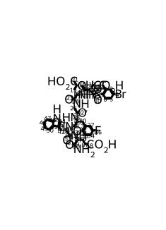 Cc1cc(Br)ccc1S(=O)(=O)N[C@H](CC(=O)O)C(=O)N[C@@H](CCC(=O)O)C(=O)NCC(=O)N[C@@H](Cc1cccc(F)c1)C(=O)N[C@@H](Cc1c[nH]c2ccccc12)C(=O)N[C@@H](CCC(=O)O)C(N)=O